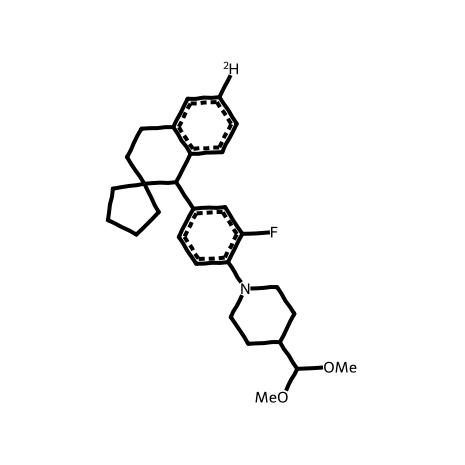 [2H]c1ccc2c(c1)CCC1(CCCC1)C2c1ccc(N2CCC(C(OC)OC)CC2)c(F)c1